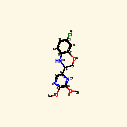 COc1ncc(C2COc3cc(Cl)ccc3N2)nc1OC